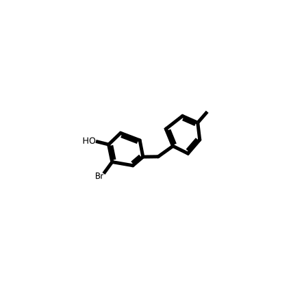 Cc1ccc(Cc2ccc(O)c(Br)c2)cc1